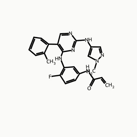 C=CC(=O)Nc1ccc(F)c(Nc2nc(Nc3cnn(C)c3)ncc2-c2ccccc2C)c1